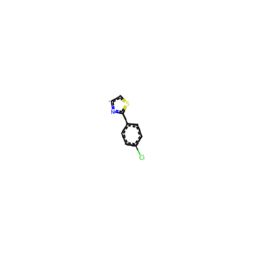 Clc1ccc(-c2n[c]cs2)cc1